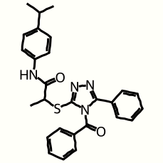 CC(Sc1nnc(-c2ccccc2)n1C(=O)c1ccccc1)C(=O)Nc1ccc(C(C)C)cc1